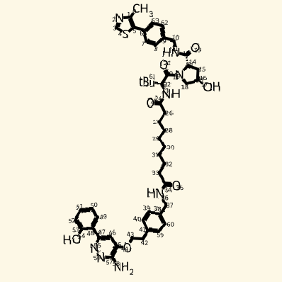 Cc1ncsc1-c1ccc(CNC(=O)[C@@H]2C[C@@H](O)CN2C(=O)[C@@H](NC(=O)CCCCCCCCC(=O)NCc2ccc(CCOc3cc(-c4ccccc4O)nnc3N)cc2)C(C)(C)C)cc1